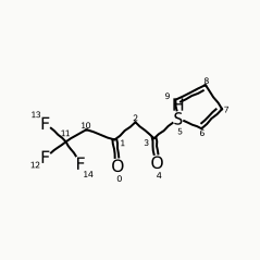 O=C(CC(=O)[SH]1C=CC=C1)CC(F)(F)F